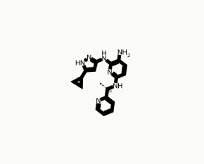 C[C@H](Nc1ccc(N)c(Nc2cc(C3CC3)[nH]n2)n1)c1ccccn1